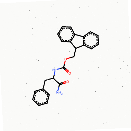 NC(=O)C(Cc1ccccc1)NC(=O)OCC1c2ccccc2-c2ccccc21